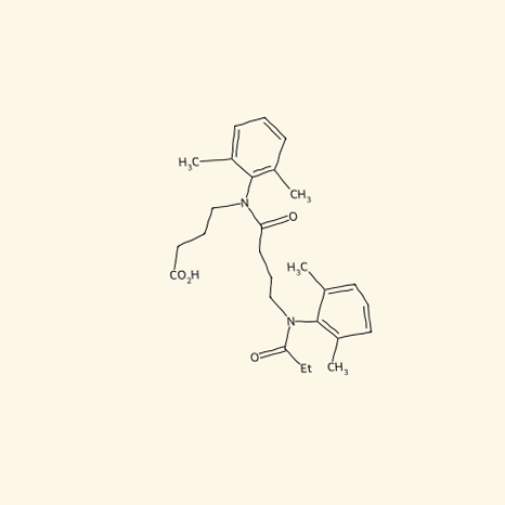 CCC(=O)N(CCCC(=O)N(CCCC(=O)O)c1c(C)cccc1C)c1c(C)cccc1C